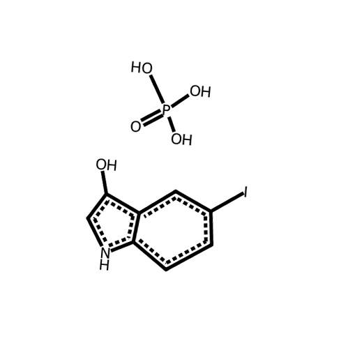 O=P(O)(O)O.Oc1c[nH]c2ccc(I)cc12